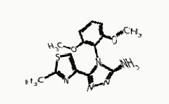 COc1cccc(OC)c1-n1c(N)nnc1-c1csc(C)n1